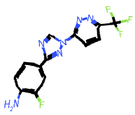 Nc1ccc(-c2ncn(-c3ccc(C(F)(F)F)nn3)n2)cc1F